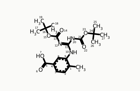 Cc1ccc(C(=O)O)cc1NC(=NC(=O)OC(C)(C)C)NC(=O)OC(C)(C)C